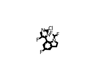 Fc1cc2c(c(-c3nc(Cl)ncc3F)c1)N(C(F)F)CC2